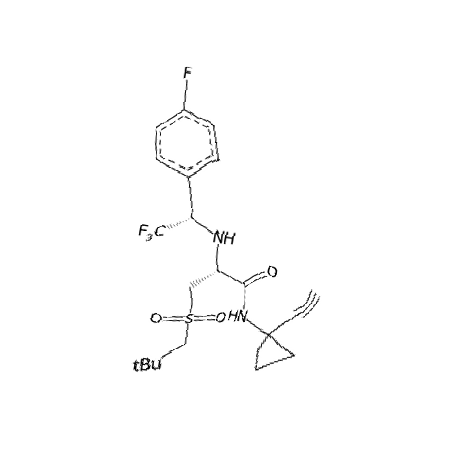 C#CC1(NC(=O)[C@H](CS(=O)(=O)CC(C)(C)C)N[C@@H](c2ccc(F)cc2)C(F)(F)F)CC1